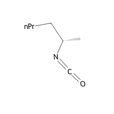 CCCC[C@H](C)N=C=O